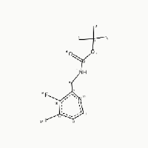 CC(C)(C)OC(=O)NCc1nccc(I)c1F